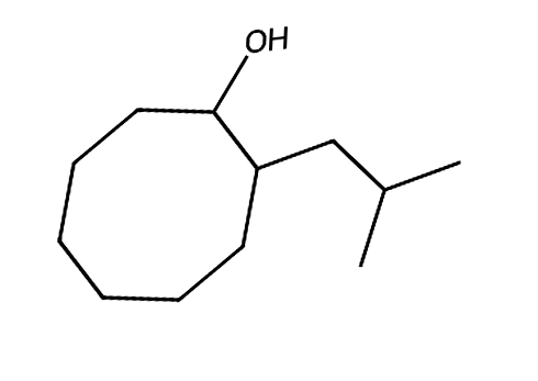 CC(C)CC1CCCCCCC1O